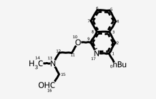 CCCCc1cc2ccccc2c(OCCN(C)CC=O)n1